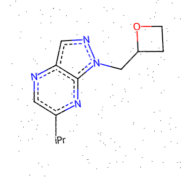 CC(C)c1cnc2cnn(CC3CCO3)c2n1